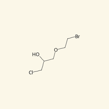 OC(CCl)COCCBr